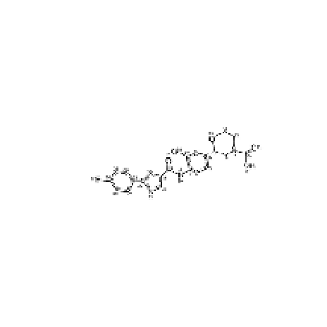 O=C(Nc1ccc([C@H]2CN(C(=O)O)CCO2)cc1Cl)c1cnn(-c2ccc(F)cc2)c1